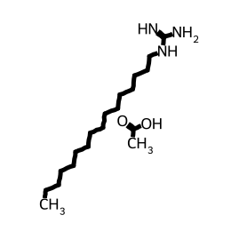 CC(=O)O.CCCCCCCCCCCCCCCCNC(=N)N